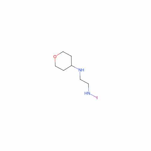 INCCNC1CCOCC1